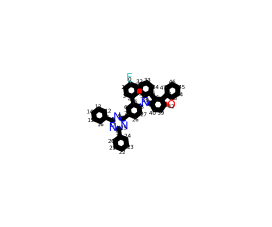 Fc1ccc(-c2cc(-c3nc(-c4ccccc4)nc(-c4ccccc4)n3)ccc2-n2c3ccccc3c3c4c(ccc32)oc2ccccc24)cc1